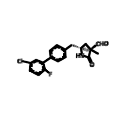 C[C@@]1(C=O)C[C@@H](Cc2ccc(-c3cc(Cl)ccc3F)cc2)NC1=O